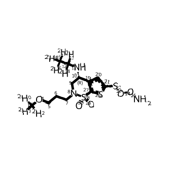 [2H]C([2H])([2H])OCCCN1C[C@H](NC([2H])([2H])C([2H])([2H])[2H])c2cc(SOON)sc2S1(=O)=O